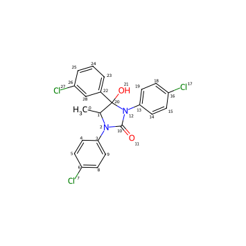 CC1N(c2ccc(Cl)cc2)C(=O)N(c2ccc(Cl)cc2)C1(O)c1cccc(Cl)c1